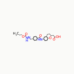 CCCOC(=O)NN=Cc1ccc(C(=O)Nc2ccc3c(c2)CCC(CC(=O)O)O3)cc1